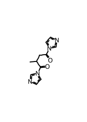 CC(CC(=O)n1ccnc1)C(=O)n1ccnc1